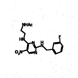 CC(=O)NCCNc1nc(NCc2cccc(F)c2)ncc1[N+](=O)[O-]